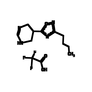 CCCCc1noc(C2CN=CNC2)n1.O=C(O)C(F)(F)F